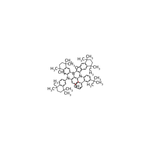 Cc1cc2c3c(c1)N(c1ccc(C(C)(C)C)cc1-c1ccccc1)c1c(oc4cc5c(cc14)C(C)(C)CCC5(C)C)B3c1cc3c(cc1N2c1ccc2c(c1)C(C)(C)CCC2(C)C)C(C)(C)CCC3(C)C